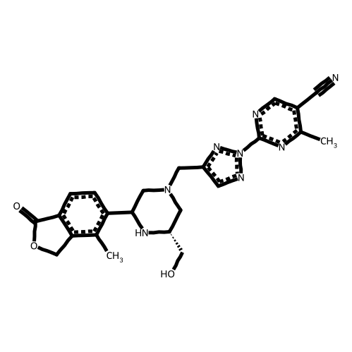 Cc1nc(-n2ncc(CN3CC(c4ccc5c(c4C)COC5=O)N[C@@H](CO)C3)n2)ncc1C#N